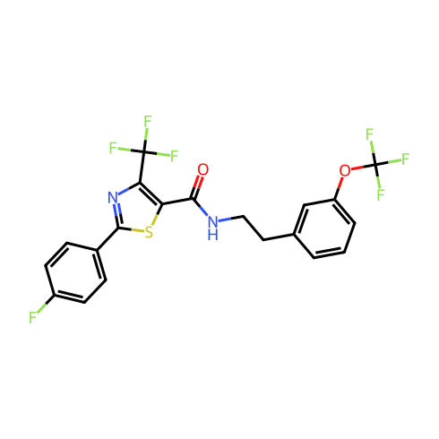 O=C(NCCc1cccc(OC(F)(F)F)c1)c1sc(-c2ccc(F)cc2)nc1C(F)(F)F